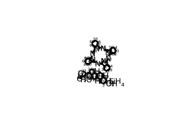 C[C@]12CC[C@H](O)C[C@H]1CC[C@@H]1[C@@H]2C[C@@H](O)[C@]2(C)[C@@H](C3=CC(=O)OC3)CC[C@]12O.[SiH4].c1ccc2c(c1)-c1nc-2nc2[nH]c(nc3nc(nc4[nH]c(n1)c1ccccc41)-c1ccccc1-3)c1ccccc21